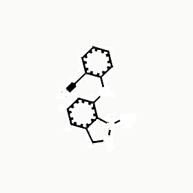 N#Cc1ccccc1Oc1cccc2c1B(O)OC2